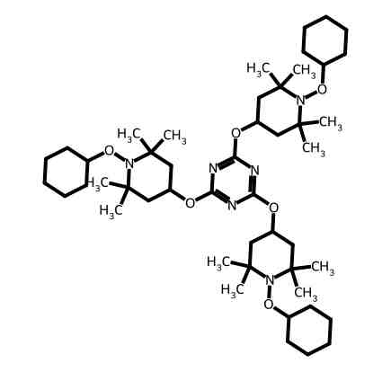 CC1(C)CC(Oc2nc(OC3CC(C)(C)N(OC4CCCCC4)C(C)(C)C3)nc(OC3CC(C)(C)N(OC4CCCCC4)C(C)(C)C3)n2)CC(C)(C)N1OC1CCCCC1